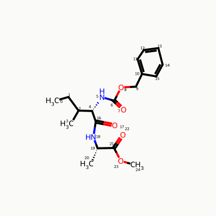 CCC(C)[C@H](NC(=O)OCc1ccccc1)C(=O)N[C@@H](C)C(=O)OC